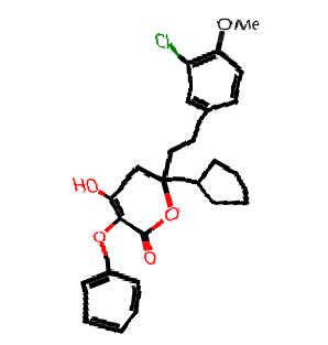 COc1ccc(CCC2(C3CCCC3)CC(O)=C(Oc3ccccc3)C(=O)O2)cc1Cl